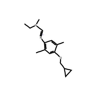 CCN(C)/C=N/c1cc(C)c(OCC2CC2)cc1C